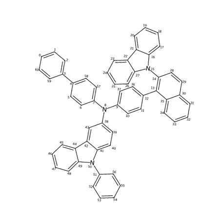 c1ccc(-c2ccc(N(c3ccc(-c4c(-n5c6ccccc6c6ccccc65)ccc5ccccc45)cc3)c3ccc4c(c3)c3ccccc3n4-c3ccccc3)cc2)cc1